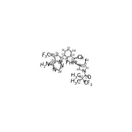 CC(C)(C(=O)N1C[C@H](F)[C@H](NC(=O)c2cccc(-c3cc(C(F)(F)F)c4c(N)ncnn34)c2F)C1)C(F)(F)F